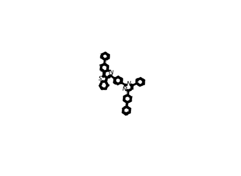 c1ccc(-c2ccc(-c3cc(-c4ccccc4)nc(-c4ccc(-c5nc6cc(-c7ccccc7)ccc6c6sc7ccccc7c56)cc4)n3)cc2)cc1